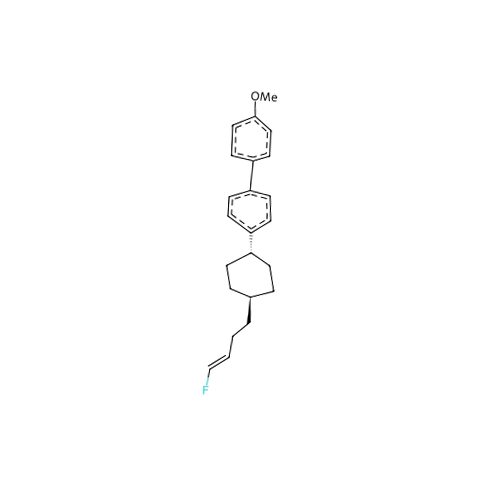 COc1ccc(-c2ccc([C@H]3CC[C@H](CCC=CF)CC3)cc2)cc1